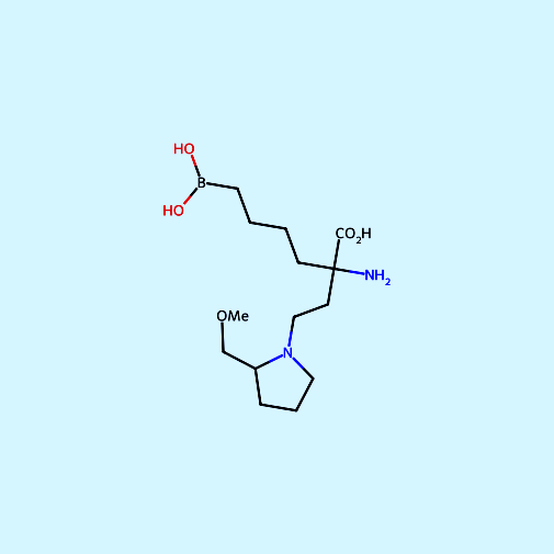 COCC1CCCN1CCC(N)(CCCCB(O)O)C(=O)O